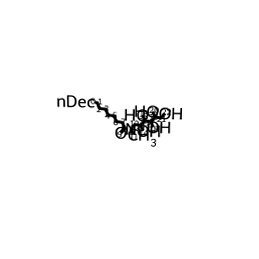 CCCCCCCCCCCCCCCCCC(=O)N(C)CC(O)C(O)C(O)C(O)CO